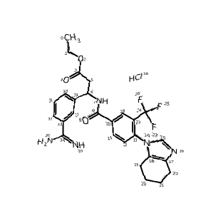 CCOC(=O)CC(NC(=O)c1ccc(-n2cnc3c2CCCC3)c(C(F)(F)F)c1)c1cccc(C(=N)N)c1.Cl